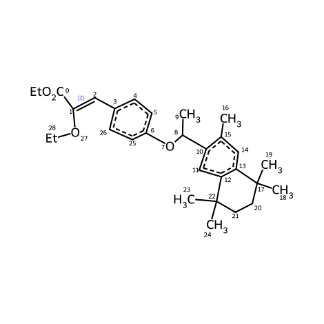 CCOC(=O)/C(=C/c1ccc(OC(C)c2cc3c(cc2C)C(C)(C)CCC3(C)C)cc1)OCC